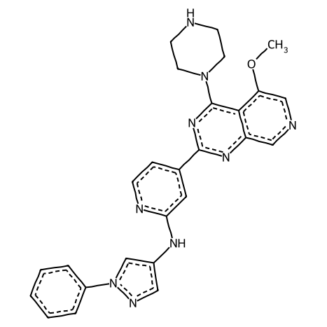 COc1cncc2nc(-c3ccnc(Nc4cnn(-c5ccccc5)c4)c3)nc(N3CCNCC3)c12